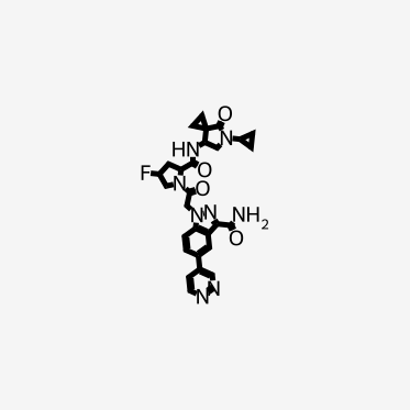 NC(=O)c1nn(CC(=O)N2CC(F)CC2C(=O)NC2CN(C3CC3)C(=O)C23CC3)c2ccc(-c3ccnnc3)cc12